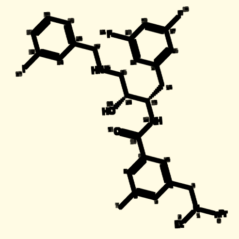 CCCN(CC)Cc1cc(C)cc(C(=O)N[C@@H](Cc2cc(F)cc(F)c2)[C@H](O)CNCc2cccc(I)c2)c1